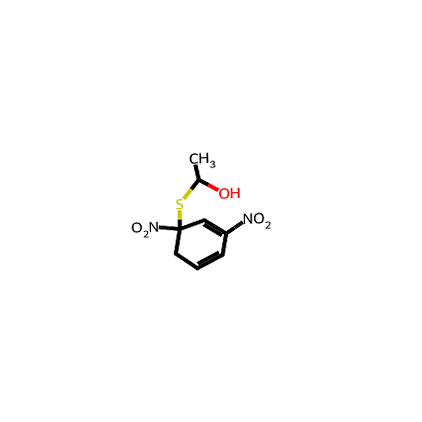 CC(O)SC1([N+](=O)[O-])C=C([N+](=O)[O-])C=CC1